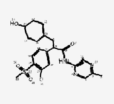 Cc1cnc(NC(=O)C(CC2CCC(O)CC2)c2ccc(S(C)(=O)=O)c(Cl)c2)cn1